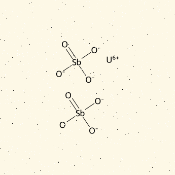 [O]=[Sb]([O-])([O-])[O-].[O]=[Sb]([O-])([O-])[O-].[U+6]